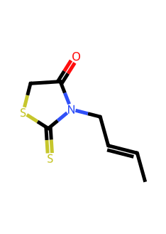 CC=CCN1C(=O)CSC1=S